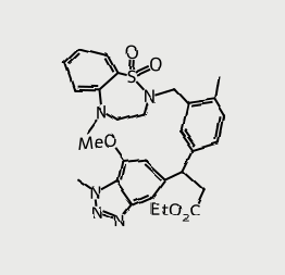 CCOC(=O)CC(c1ccc(C)c(CN2CCN(C)c3ccccc3S2(=O)=O)c1)c1cc(OC)c2c(c1)nnn2C